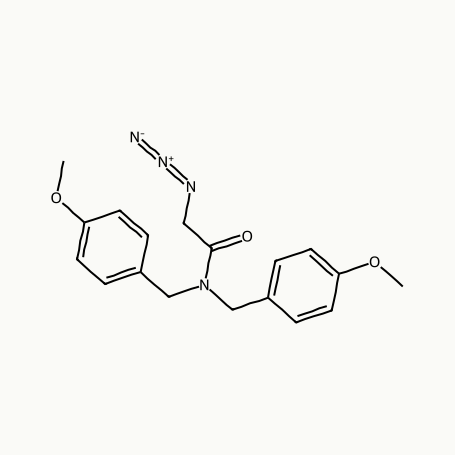 COc1ccc(CN(Cc2ccc(OC)cc2)C(=O)CN=[N+]=[N-])cc1